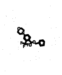 O=C(OCc1ccccc1)c1ccc(N2CCOCC2)cc1C(F)(F)F